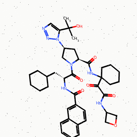 CC(C)(O)c1cnnn1[C@H]1C[C@@H](C(=O)NC2(C(=O)C(=O)NC3COC3)CCCCC2)N(C(=O)[C@@H](CC2CCCCC2)NC(=O)c2ccc3ccccc3c2)C1